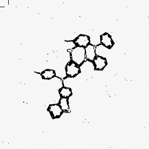 Cc1ccc(N(c2ccc3c(c2)Oc2c(C)ccc4c2B3c2ccccc2N4c2ccccc2)c2ccc3oc4ccccc4c3c2)cc1